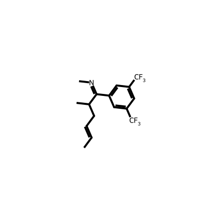 C/C=C/CC(C)/C(=N\C)c1cc(C(F)(F)F)cc(C(F)(F)F)c1